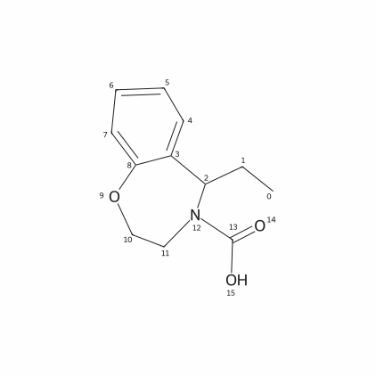 CCC1c2ccccc2OCCN1C(=O)O